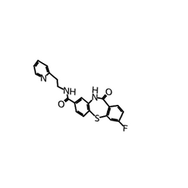 O=C(NCCc1ccccn1)c1ccc2c(c1)NC(=O)c1ccc(F)cc1S2